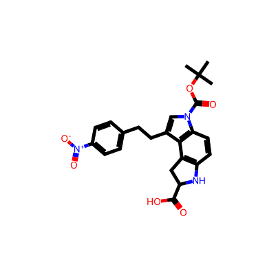 CC(C)(C)OC(=O)n1cc(CCc2ccc([N+](=O)[O-])cc2)c2c3c(ccc21)NC(C(=O)O)C3